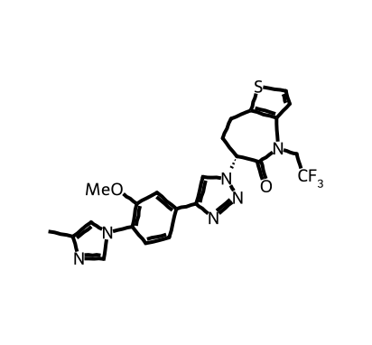 COc1cc(-c2cn([C@@H]3CCc4sccc4N(CC(F)(F)F)C3=O)nn2)ccc1-n1cnc(C)c1